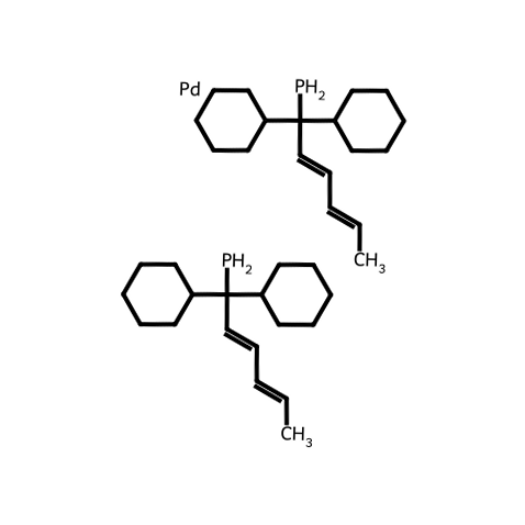 CC=CC=CC(P)(C1CCCCC1)C1CCCCC1.CC=CC=CC(P)(C1CCCCC1)C1CCCCC1.[Pd]